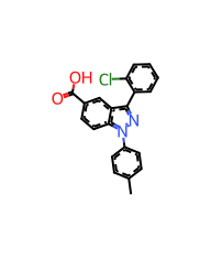 Cc1ccc(-n2nc(-c3ccccc3Cl)c3cc(C(=O)O)ccc32)cc1